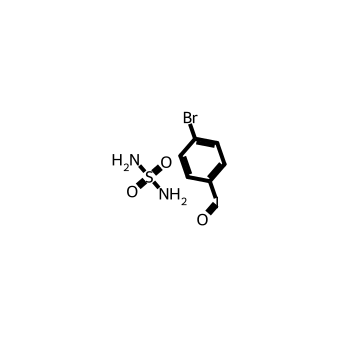 NS(N)(=O)=O.O=Ic1ccc(Br)cc1